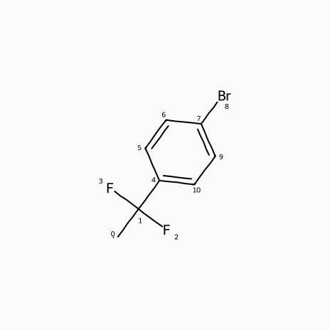 [CH2]C(F)(F)c1ccc(Br)cc1